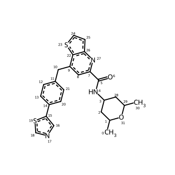 CC1CC(NC(=O)c2cc(Cc3ccc(-c4cncs4)cc3)c3sccc3n2)CC(C)O1